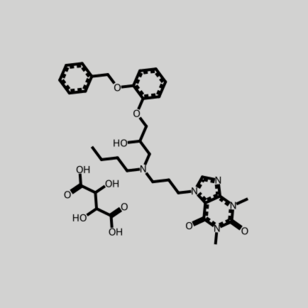 CCCCN(CCCn1cnc2c1c(=O)n(C)c(=O)n2C)CC(O)COc1ccccc1OCc1ccccc1.O=C(O)C(O)C(O)C(=O)O